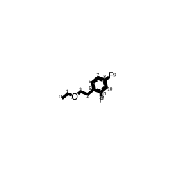 C[CH]OCCc1ccc(F)cc1F